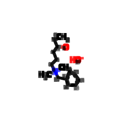 C=CC(=O)CCC[N+](C)(C)Cc1ccccc1.[OH-]